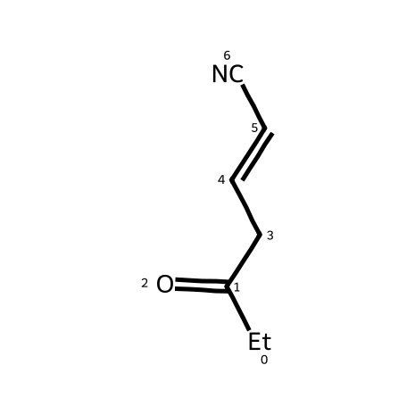 CCC(=O)C/C=C/C#N